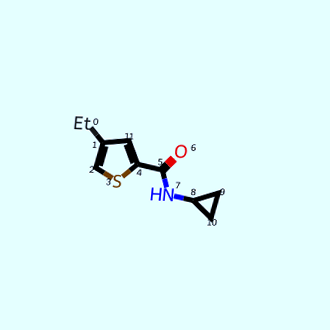 CCc1csc(C(=O)NC2CC2)c1